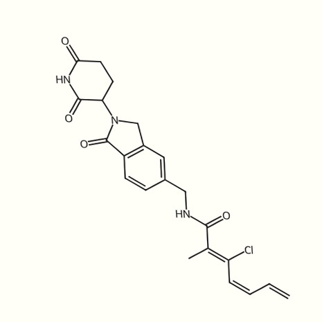 C=C/C=C\C(Cl)=C(/C)C(=O)NCc1ccc2c(c1)CN(C1CCC(=O)NC1=O)C2=O